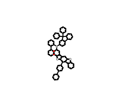 c1ccc(-c2ccc(-c3c4oc5ccc(N(c6ccc7c(c6)C(c6ccccc6)(c6ccccc6)c6ccccc6-7)c6ccccc6-c6ccccc6)cc5c4cc4oc5ccccc5c34)cc2)cc1